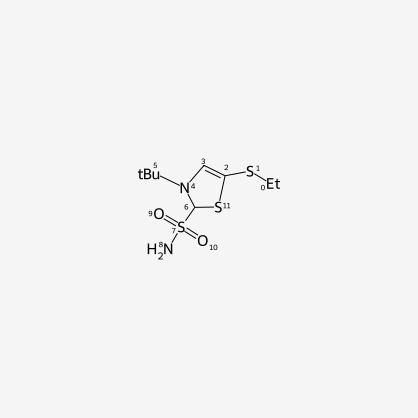 CCSC1=CN(C(C)(C)C)C(S(N)(=O)=O)S1